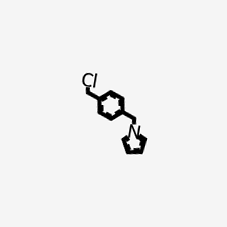 ClCc1ccc(Cn2cccc2)cc1